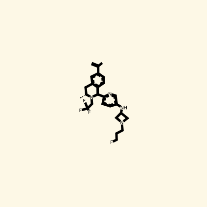 C=C(C)c1ccc2c(c1)C[C@@H](C)N(CC(F)(F)F)C2c1ccc(NC2CN(CCCF)C2)cn1